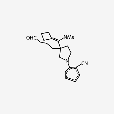 CNC(=C1CCC1)C1(CCCC=O)CCN(c2ccccc2C#N)C1